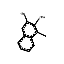 CCCCc1cc2ccccc2c(C)c1CCCC